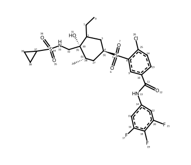 CCC1C[C@@H](S(=O)(=O)c2cc(C(=O)Nc3cc(F)c(F)c(F)c3)ccc2Cl)C[C@H](C)[C@@]1(O)CNS(=O)(=O)C1CC1